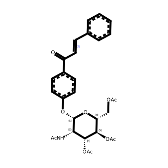 CC(=O)N[C@@H]1[C@H](Oc2ccc(C(=O)/C=C/c3ccccc3)cc2)O[C@H](COC(C)=O)[C@@H](OC(C)=O)[C@@H]1OC(C)=O